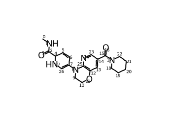 CNC(=O)C1C=CC(N2CCOc3cc(C(=O)N4CCCCC4)cnc32)=CN1